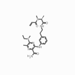 C=CC(=O)N(C)[C@@H](C)C(=O)NCCc1cccc(Nc2nc(N(C)CC)c(C)nc2C(N)=O)c1